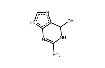 NC1=Nc2[nH]cnc2C(O)N1